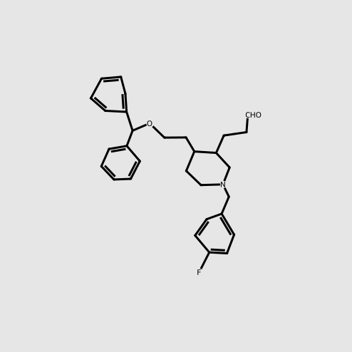 O=CCCC1CN(Cc2ccc(F)cc2)CCC1CCOC(c1ccccc1)c1ccccc1